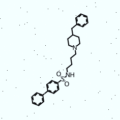 O=S(=O)(NCCCCN1CCC(Cc2ccccc2)CC1)c1ccc(-c2ccccc2)cc1